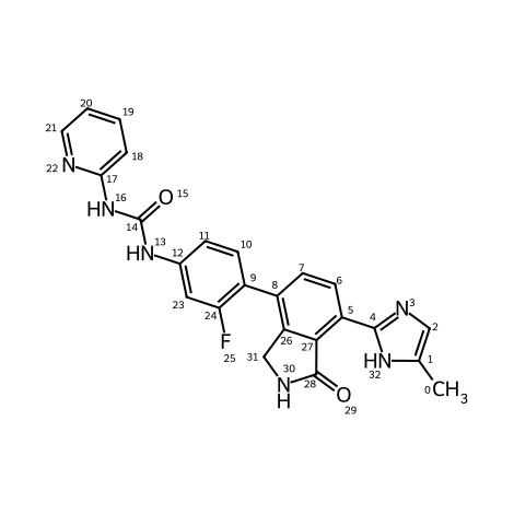 Cc1cnc(-c2ccc(-c3ccc(NC(=O)Nc4ccccn4)cc3F)c3c2C(=O)NC3)[nH]1